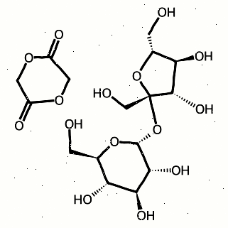 O=C1COC(=O)CO1.OC[C@H]1O[C@@](CO)(O[C@H]2O[C@H](CO)[C@@H](O)[C@H](O)[C@H]2O)[C@@H](O)[C@@H]1O